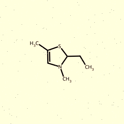 CCC1SC(C)=CN1C